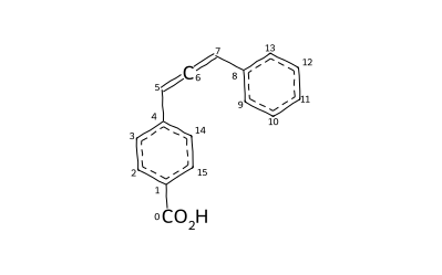 O=C(O)c1ccc(C=C=Cc2ccccc2)cc1